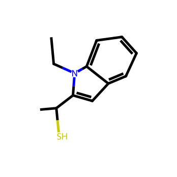 CCn1c(C(C)S)cc2ccccc21